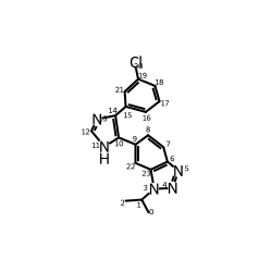 CC(C)n1nnc2ccc(-c3[nH]cnc3-c3cccc(Cl)c3)cc21